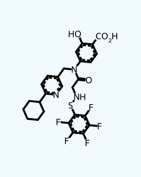 O=C(O)c1ccc(N(Cc2ccc(C3CCCCC3)nc2)C(=O)CNSc2c(F)c(F)c(F)c(F)c2F)cc1O